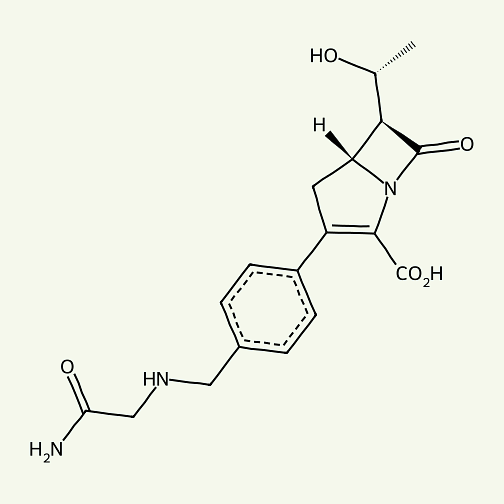 C[C@@H](O)[C@H]1C(=O)N2C(C(=O)O)=C(c3ccc(CNCC(N)=O)cc3)C[C@H]12